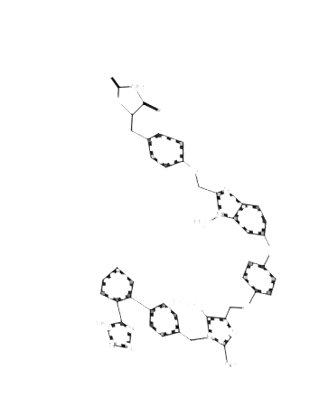 CCCc1nc(COc2ccc(Sc3ccc4nc(COc5ccc(CC6SC(=O)NC6=O)cc5)n(C)c4c3)cc2)c(C(=O)OCC)n1Cc1ccc(-c2ccccc2-c2nnn[nH]2)cc1